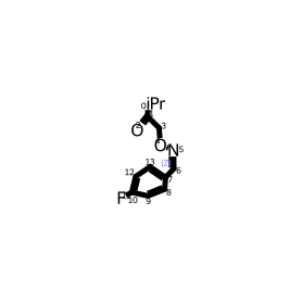 CC(C)C(=O)CO/N=C\c1ccc(F)cc1